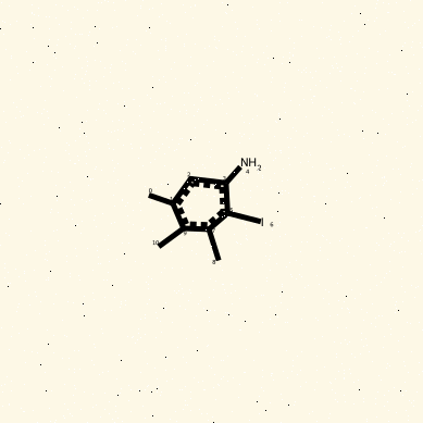 Cc1cc(N)c(I)c(C)c1C